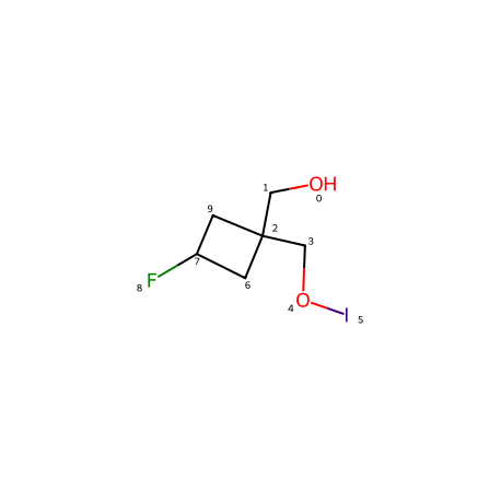 OCC1(COI)CC(F)C1